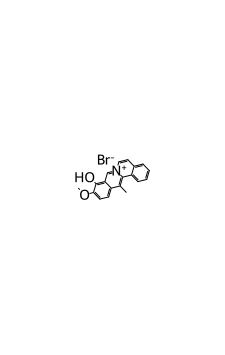 COc1ccc2c(C)c3c4ccccc4cc[n+]3cc2c1O.[Br-]